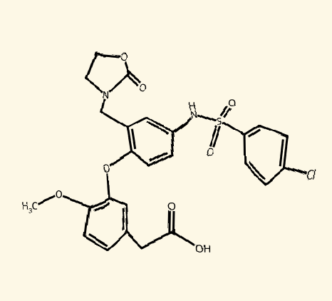 COc1ccc(CC(=O)O)cc1Oc1ccc(NS(=O)(=O)c2ccc(Cl)cc2)cc1CN1CCOC1=O